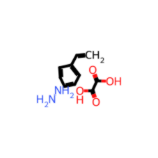 C=Cc1ccccc1.NN.O=C(O)C(=O)O